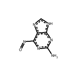 Nc1nc(N=O)c2nc[nH]c2n1